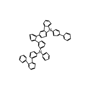 c1ccc(-c2ccc(-n3c4ccccc4c4cc(-c5ccccc5-c5cccc(N(c6ccccc6)c6cccc(-c7ccccc7-c7ccccc7)c6)c5)ccc43)cc2)cc1